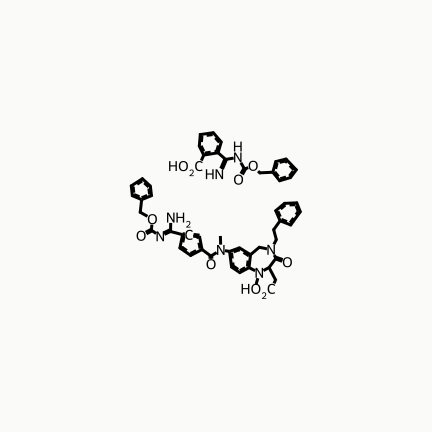 CN(C(=O)c1ccc(C(N)=NC(=O)OCc2ccccc2)cc1)c1ccc2c(c1)CN(CCc1ccccc1)C(=O)C(CC(=O)O)N2C.N=C(NC(=O)OCc1ccccc1)c1ccccc1C(=O)O